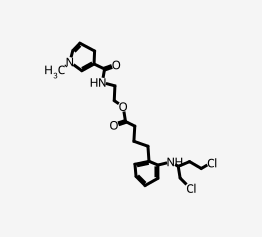 CN1C=CCC(C(=O)NCCOC(=O)CCCc2ccccc2NC(CCl)CCCl)=C1